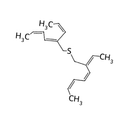 C\C=C/C=C\C(=C/C)CSCC(/C=C\C)=C/C=C\C